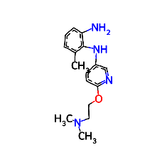 Cc1cccc(N)c1Nc1ccc(OCCN(C)C)nc1